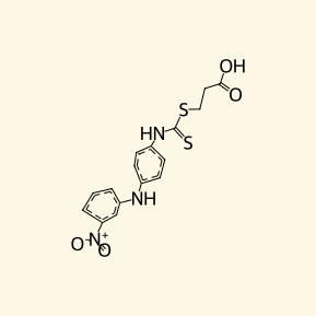 O=C(O)CCSC(=S)Nc1ccc(Nc2cccc([N+](=O)[O-])c2)cc1